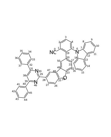 N#Cc1cccc(-n2c3ccccc3c3ccccc32)c1-c1ccc2oc3ccc(-c4nc(-c5ccccc5)cc(-c5ccccc5)n4)cc3c2c1